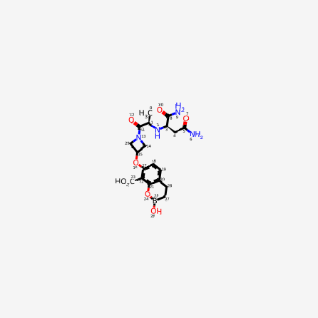 C[C@@H](N[C@H](CC(N)=O)C(N)=O)C(=O)N1CC(Oc2ccc3c(c2C(=O)O)OB(O)CC3)C1